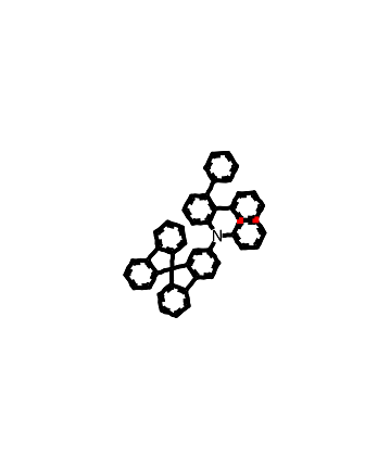 c1ccc(-c2cccc(N(c3ccccc3)c3ccc4c(c3)C3(c5ccccc5-c5ccccc53)c3ccccc3-4)c2-c2ccccc2)cc1